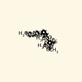 COc1c(NC(=O)c2cc3cccc(Oc4ccnc(CN5CCN(C)CC5)n4)c3n2C)cc(C(F)(F)F)cc1NS(C)(=O)=O